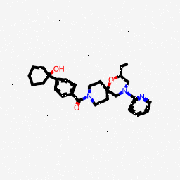 CCC1CN(c2ccccn2)CC2(CCN(C(=O)c3ccc(C4(O)CCCCC4)cc3)CC2)O1